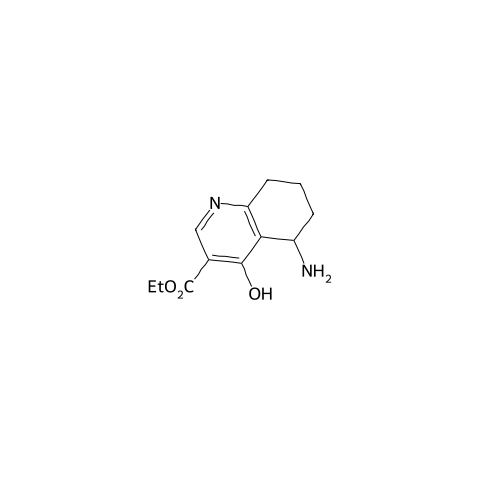 CCOC(=O)c1cnc2c(c1O)C(N)CCC2